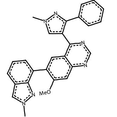 COc1cc2ncnc(-c3cn(C)nc3-c3ccccc3)c2cc1-c1cccc2cn(C)nc12